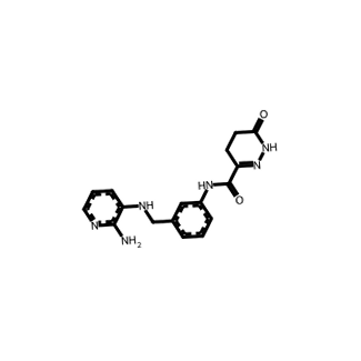 Nc1ncccc1NCc1cccc(NC(=O)C2=NNC(=O)CC2)c1